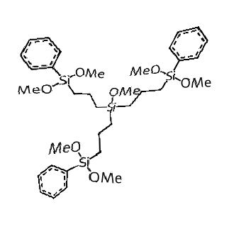 CO[Si](CCC[Si](OC)(OC)c1ccccc1)(CCC[Si](OC)(OC)c1ccccc1)CCC[Si](OC)(OC)c1ccccc1